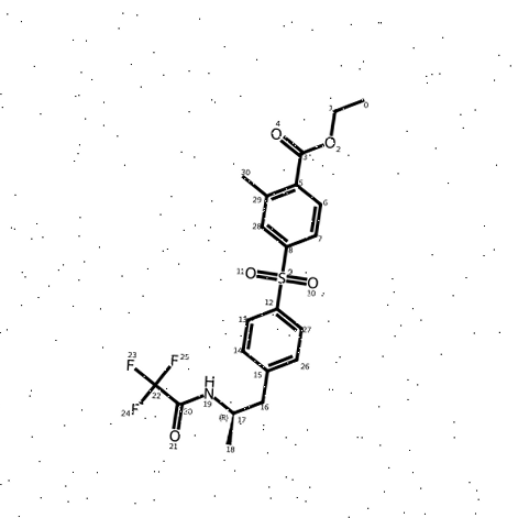 CCOC(=O)c1ccc(S(=O)(=O)c2ccc(C[C@@H](C)NC(=O)C(F)(F)F)cc2)cc1C